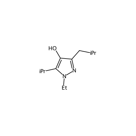 CCn1nc(CC(C)C)c(O)c1C(C)C